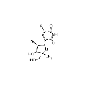 O=c1[nH]c(=O)n([C@@H]2O[C@@](CO)(C(F)(F)F)[C@@H](O)[C@H]2Br)cc1F